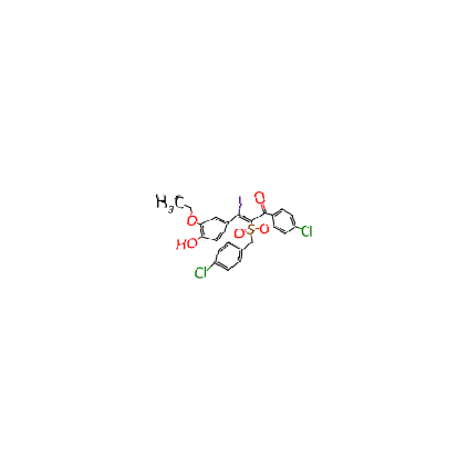 CCOc1cc(C(I)=C(C(=O)c2ccc(Cl)cc2)S(=O)(=O)Cc2ccc(Cl)cc2)ccc1O